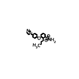 CCCCc1c(Oc2ccc(-n3ccnc3)cc2)cccc1S(N)(=O)=O